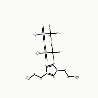 NS(=O)(=O)C(F)(F)F.NS(=O)(=O)C(F)(F)F.OCCn1cc[n+](CCO)c1